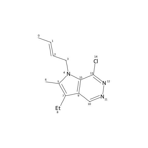 C/C=C/Cn1c(C)c(CC)c2cnnc(Cl)c21